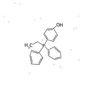 CC[P](c1ccccc1)(c1ccccc1)c1ccc(O)cc1